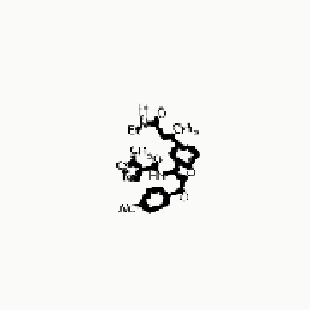 CCN(CC)C(=O)C=C(C)c1ccc2oc(C(=O)c3ccc(C#N)cc3)c(NC(=O)c3cnoc3C)c2c1